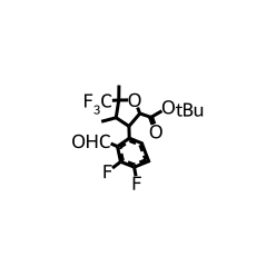 CC1C(c2ccc(F)c(F)c2C=O)C(C(=O)OC(C)(C)C)OC1(C)C(F)(F)F